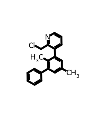 Cc1cc(-c2ccccc2)c(C)c(-c2cccnc2CCl)c1